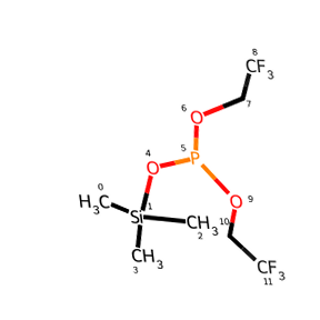 C[Si](C)(C)OP(OCC(F)(F)F)OCC(F)(F)F